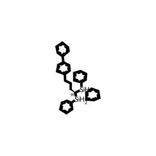 c1ccc([SiH2][C@@H](CCCc2ccc(-c3ccccc3)cc2)[SiH](c2ccccc2)c2ccccc2)cc1